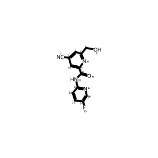 N#Cc1cc(CO)nc(C(=O)Nc2ccc(F)cn2)c1